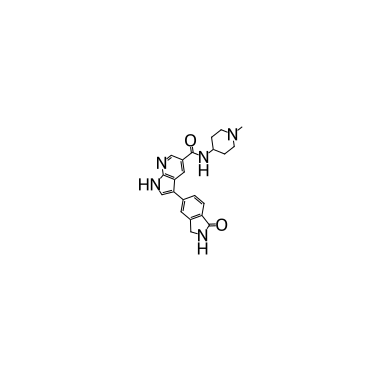 CN1CCC(NC(=O)c2cnc3[nH]cc(-c4ccc5c(c4)CNC5=O)c3c2)CC1